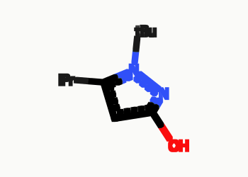 CC(C)c1cc(O)nn1C(C)(C)C